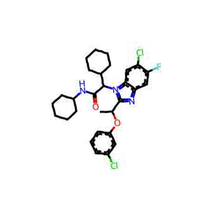 CC(Oc1cccc(Cl)c1)c1nc2cc(F)c(Cl)cc2n1C(C(=O)NC1CCCCC1)C1CCCCC1